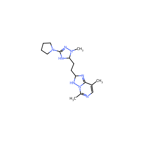 CC1=CN=C(C)N2NC(CCC3NC(N4CCCC4)=NN3C)N=C12